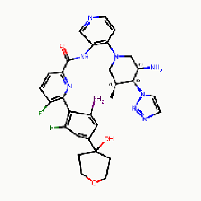 C[C@H]1CN(c2ccncc2NC(=O)c2ccc(F)c(-c3c(F)cc(C4(O)CCOCC4)cc3P)n2)C[C@@H](N)[C@H]1n1ccnn1